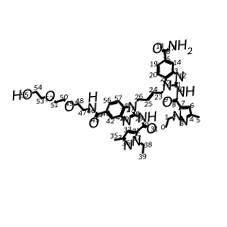 CCn1nc(C)cc1C(=O)Nc1nc2cc(C(N)=O)ccc2n1C/C=C/Cn1c(NC(=O)c2cc(C)nn2CC)nc2cc(C(=O)NCCOCCOCCO)ccc21